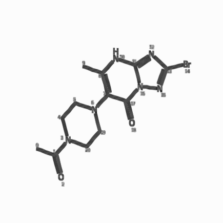 CC(=O)N1CCN(c2c(C)[nH]c3nc(Br)nn3c2=O)CC1